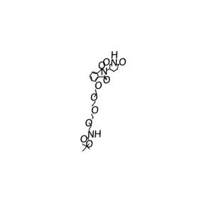 CC(C)(C)OC(=O)NCCOCCOCCOCCOc1cccc2c1C(=O)N(C1CCC(=O)NC1=O)C2=O